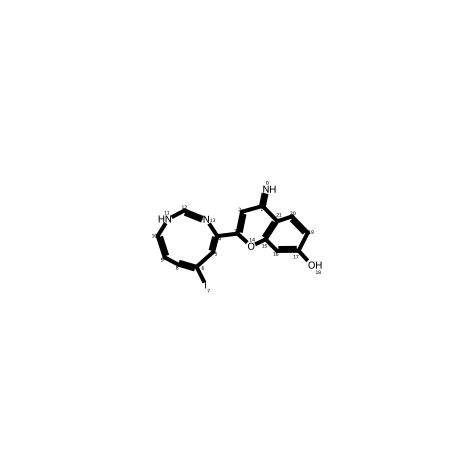 N=c1cc(-c2cc(I)ccc[nH]cn2)oc2cc(O)ccc12